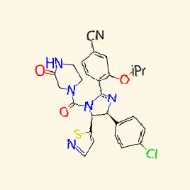 CC(C)Oc1cc(C#N)ccc1C1=N[C@@H](c2ccc(Cl)cc2)[C@@H](c2ccns2)N1C(=O)N1CCNC(=O)C1